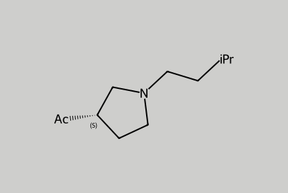 CC(=O)[C@H]1CCN(CCC(C)C)C1